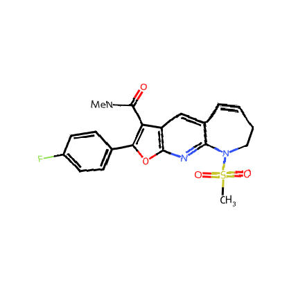 CNC(=O)c1c(-c2ccc(F)cc2)oc2nc3c(cc12)C=CCCN3S(C)(=O)=O